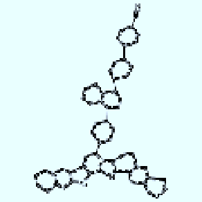 N#Cc1ccc(-c2ccc(-c3ccc(-c4ccc(-c5cc6c7cc8ccccc8cc7sc6c6nc7c8cc9ccccc9cc8ccc7n56)cc4)c4ccccc34)cc2)cc1